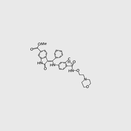 COC(=O)c1ccc2c(c1)NC(=O)/C2=C(\Nc1ccc(C(=O)NOCCN2CCOCC2)c(C)c1)c1ccccc1